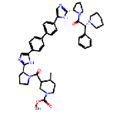 CC1CCN(C(=O)OC(C)(C)C)CC1C(=O)N1CCC[C@H]1c1ncc(-c2ccc(-c3ccc(-c4cnc([C@@H]5CCCN5C(=O)[C@@H](c5ccccc5)N5CCCCC5)[nH]4)cc3)cc2)[nH]1